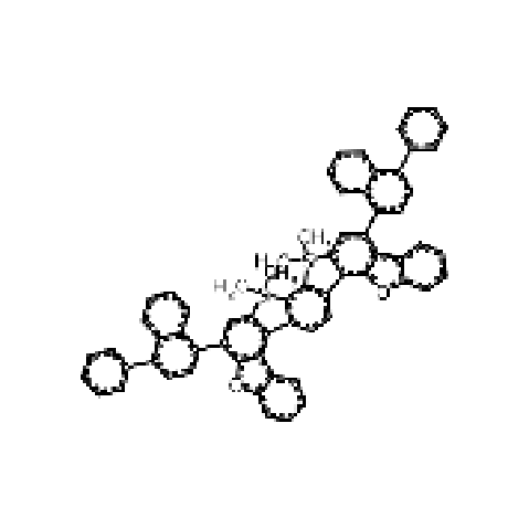 C[Si]1(C)c2cc(-c3ccc(-c4ccccc4)c4ccccc34)c3c(oc4ccccc43)c2-c2ccc3c(c21)[Si](C)(C)c1cc(-c2ccc(-c4ccccc4)c4ccccc24)c2oc4ccccc4c2c1-3